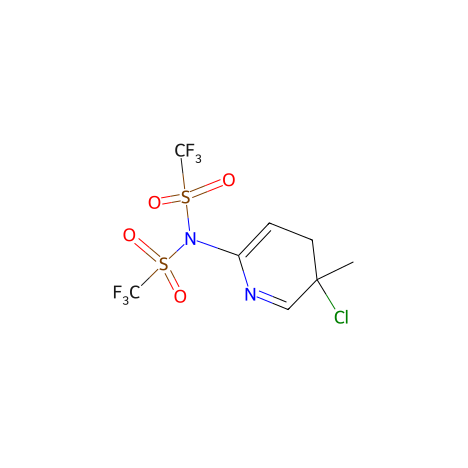 CC1(Cl)C=NC(N(S(=O)(=O)C(F)(F)F)S(=O)(=O)C(F)(F)F)=CC1